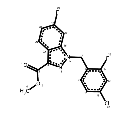 COC(=O)c1nn(Cc2ccc(Cl)cc2F)c2cc(F)ccc12